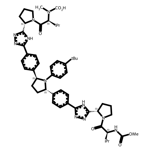 COC(=O)N[C@H](C(=O)N1CCC[C@H]1c1nnc(-c2ccc([C@@H]3CC[C@@H](c4ccc(-c5nnc([C@@H]6CCCN6C(=O)[C@H](C(C)C)N(C)C(=O)O)[nH]5)cc4)N3c3ccc(C(C)(C)C)cc3)cc2)[nH]1)C(C)C